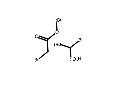 CC(C)(C)C(Br)C(=O)O.CC(C)(C)OC(=O)CBr